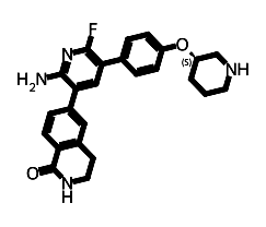 Nc1nc(F)c(-c2ccc(O[C@H]3CCCNC3)cc2)cc1-c1ccc2c(c1)CCNC2=O